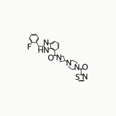 O=C(c1nccs1)N1CCN(C2CN(C(=O)c3cccc4nc(Cc5ccccc5F)[nH]c34)C2)CC1